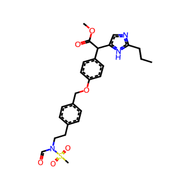 CCCc1ncc(C(C(=O)OC)c2ccc(OCc3ccc(CCN(C=O)S(C)(=O)=O)cc3)cc2)[nH]1